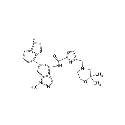 Cn1ncc2c(NC(=O)c3csc(CN4CCOC(C)(C)C4)n3)cc(-c3cccc4[nH]ccc34)cc21